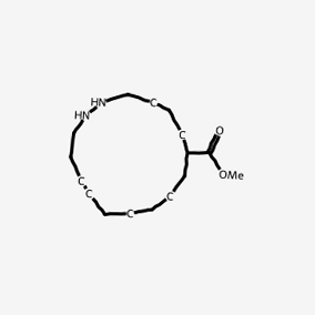 COC(=O)C1CCCCCCCCCNNCCCC1